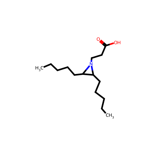 CCCCCC1C(CCCCC)N1CCC(=O)O